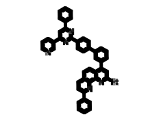 CCc1cc(-c2cccc(-c3ccc(-c4nc(-c5ccccc5)cc(-c5cccnc5)n4)cc3)c2)c2ccc3ccc(-c4ccccc4)nc3c2n1